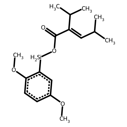 COc1ccc(OC)c([SiH2]OC(=O)C(=CC(C)C)C(C)C)c1